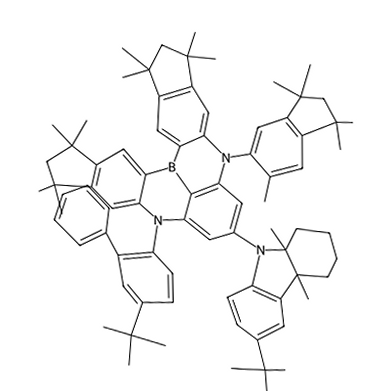 Cc1cc2c(cc1N1c3cc4c(cc3B3c5cc6c(cc5N(c5ccc(C(C)(C)C)cc5-c5ccccc5)c5cc(N7c8ccc(C(C)(C)C)cc8C8(C)CCCCC78C)cc1c53)C(C)(C)CC6(C)C)C(C)(C)CC4(C)C)C(C)(C)CC2(C)C